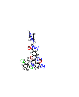 COc1cc(C(=O)NCCN2CCN(C)CC2)ccc1Nc1cc(Cc2c(Cl)cccc2Cl)nc2cc[nH]c(=O)c12